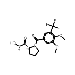 COc1cc(C(=S)N2CCC[C@@H]2C(=O)NO)cc(C(F)(F)F)c1OC